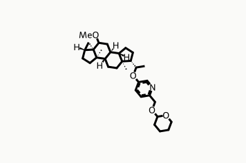 COC1C[C@H]2[C@@H]3CC[C@H](C(C)Oc4ccc(COC5CCCCO5)nc4)[C@@]3(C)CC[C@@H]2[C@@]2(C)CC[C@@H]3C[C@@]132